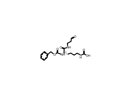 O=CCCNC(=O)[C@H](CCCCNC(=O)O)NC(=O)OCc1ccccc1